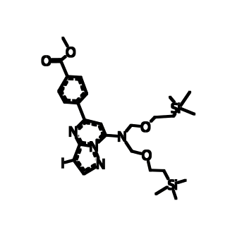 COC(=O)c1ccc(-c2cc(N(COCC[Si](C)(C)C)COCC[Si](C)(C)C)n3ncc(I)c3n2)cc1